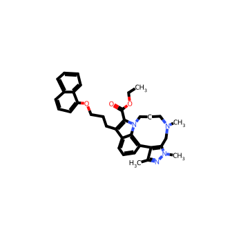 CCOC(=O)c1c(CCCOc2cccc3ccccc23)c2cccc3c2n1CCCN(C)Cc1c-3c(C)nn1C